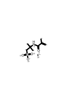 C=C(C)C(=O)NC(C)(C)CS(=O)(=O)[O-].[K+]